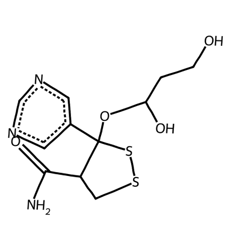 NC(=O)C1CSSC1(OC(O)CCO)c1cncnc1